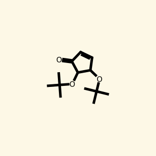 CC(C)(C)OC1C=CC(=O)C1OC(C)(C)C